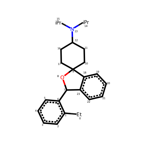 CCc1ccccc1C1OC2(CCC(N(C(C)C)C(C)C)CC2)c2ccccc21